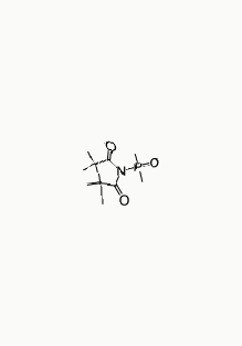 CC1(C)C(=O)N(P(C)(C)=O)C(=O)C1(C)C